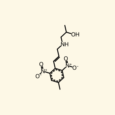 Cc1cc([N+](=O)[O-])c(C=CCNCC(C)O)c([N+](=O)[O-])c1